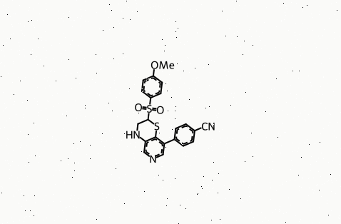 COc1ccc(S(=O)(=O)C2CNc3cncc(-c4ccc(C#N)cc4)c3S2)cc1